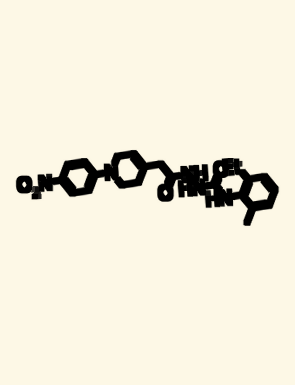 CCc1cccc(C)c1NC(=O)NNC(=O)CC1=CCN(c2ccc([N+](=O)[O-])cc2)CC1